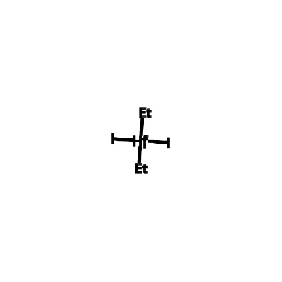 C[CH2][Hf]([I])([I])[CH2]C